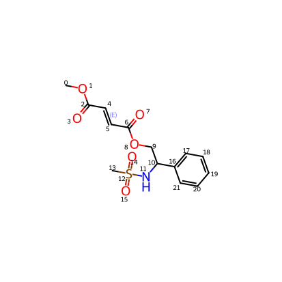 COC(=O)/C=C/C(=O)OCC(NS(C)(=O)=O)c1ccccc1